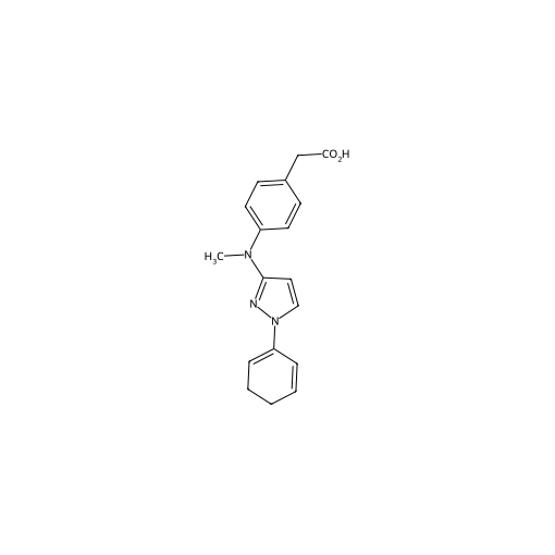 CN(c1ccc(CC(=O)O)cc1)c1ccn(C2=CCCC=C2)n1